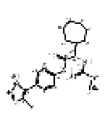 CCn1nnc(C)c1-c1ccc(NC(=O)[C@@H](NC(=O)OC(C)(C)C)C2CCCCCC2)nc1